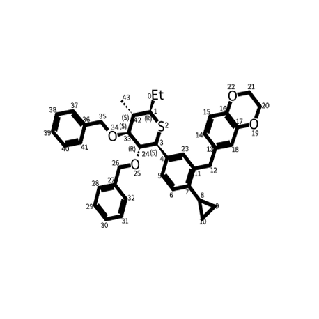 CC[C@H]1S[C@@H](c2ccc(C3CC3)c(Cc3ccc4c(c3)OCCO4)c2)[C@H](OCc2ccccc2)[C@@H](OCc2ccccc2)[C@@H]1C